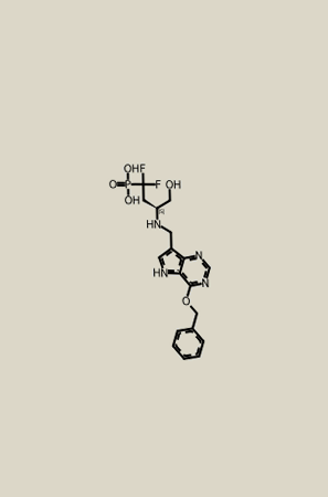 O=P(O)(O)C(F)(F)C[C@@H](CO)NCc1c[nH]c2c(OCc3ccccc3)ncnc12